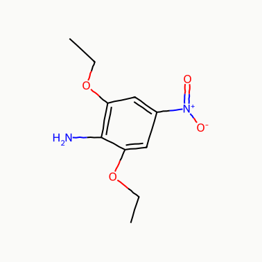 CCOc1cc([N+](=O)[O-])cc(OCC)c1N